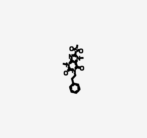 Cn1c(S(C)(=O)=O)nc2c1c(=O)n(CCc1ccccc1)c(=O)n2C